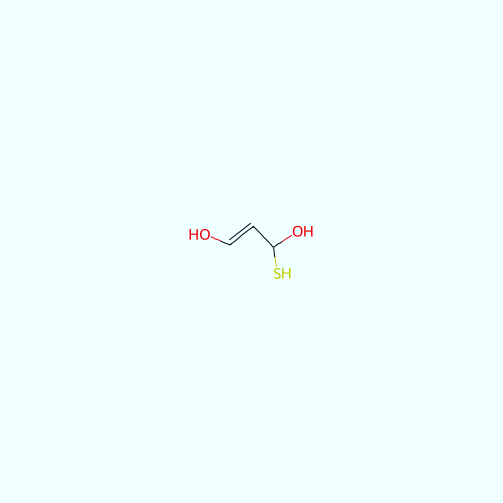 OC=CC(O)S